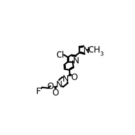 Cn1ccc(-c2cc(Cl)c3ccc(C(=O)N4CCN(C(=O)OCCF)CC4)cc3n2)c1